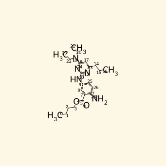 CCCCOC(=O)c1cc(Nc2nc(CCC)cc(N(CC)CC)n2)ccc1N